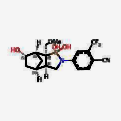 COC[C@@]12[C@@H](CN(c3ccc(C#N)c(C(F)(F)F)c3)S1(O)O)[C@H]1C[C@H](O)[C@@H]2C1